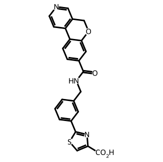 O=C(NCc1cccc(-c2nc(C(=O)O)cs2)c1)c1ccc2c(c1)OCc1cnccc1-2